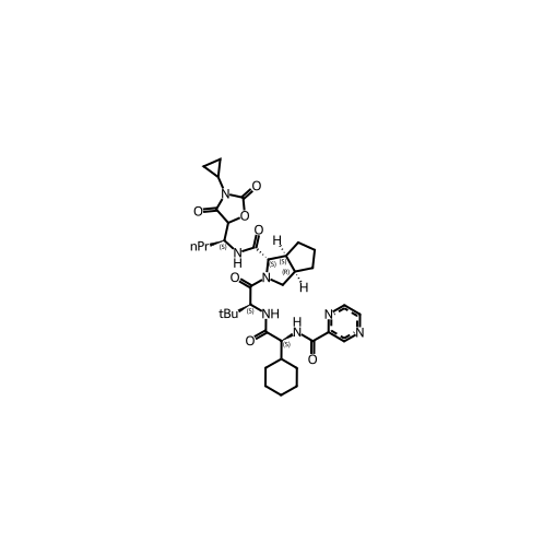 CCC[C@H](NC(=O)[C@@H]1[C@H]2CCC[C@H]2CN1C(=O)[C@@H](NC(=O)[C@@H](NC(=O)c1cnccn1)C1CCCCC1)C(C)(C)C)C1OC(=O)N(C2CC2)C1=O